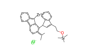 CC(C)=c1ccc2c(c1C1C=C(CCO[Si](C)(C)C)c3ccccc31)[C]([Zr+2])=c1ccccc1=2.[Cl-].[Cl-]